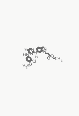 CCOC(=O)CCn1ncc2ccc(Nc3ncc(F)c(Nc4ccc(OC)c(Cl)c4)n3)cc21